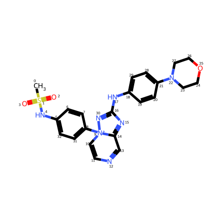 CS(=O)(=O)Nc1ccc([N+]23C=CN=CC2=NC(Nc2ccc(N4CCOCC4)cc2)=N3)cc1